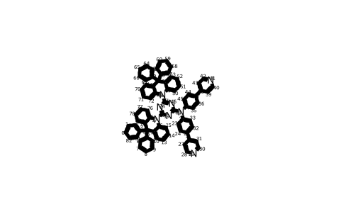 c1ccc(C2(c3ccccc3)c3ccccc3N(c3nc(N(c4ccc(-c5ccncc5)cc4)c4ccc(-c5ccncc5)cc4)nc(N4c5ccccc5C(c5ccccc5)(c5ccccc5)c5ccccc54)n3)c3ccccc32)cc1